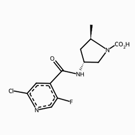 C[C@@H]1C[C@@H](NC(=O)c2cc(Cl)ncc2F)CN1C(=O)O